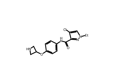 CCn1cc(Cl)c(C(=O)Nc2ccc(OC3CNC3)cc2)n1